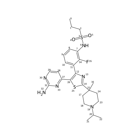 CCCS(=O)(=O)Nc1cccc(-c2nc(C3(C)CCN(C(C)C)CC3)sc2-c2ccnc(N)n2)c1F